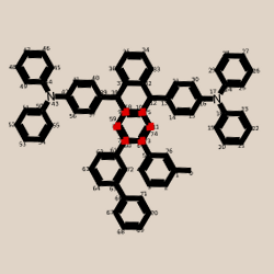 Cc1cccc(-c2ccc3c(c2)C2(c4ccc(N(c5ccccc5)c5ccccc5)cc4)c4ccccc4C3(c3ccc(N(c4ccccc4)c4ccccc4)cc3)c3cc(-c4cccc(-c5ccccc5)c4)ccc32)c1